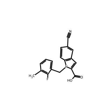 Cc1cccc(Cn2c(C(=O)O)cc3cc(C#N)ccc32)c1F